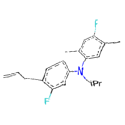 C=CCc1ccc(N(c2cc(C)c(F)cc2C)C(C)C)cc1F